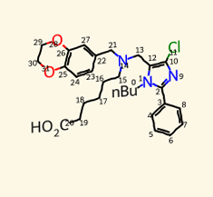 CCCCn1c(-c2ccccc2)nc(Cl)c1CN(CCCCCC(=O)O)Cc1ccc2c(c1)OCCO2